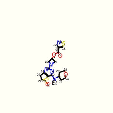 CCN(c1nc(N2CC(OC(=O)c3cnsc3)C2)nc2c1[S+]([O-])CC2)C1CCOCC1